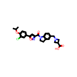 CC(C)Oc1ccc(-c2cc(C(=O)N3CCc4cc(CN5CC(C(=O)O)C5)ccc43)no2)cc1Cl